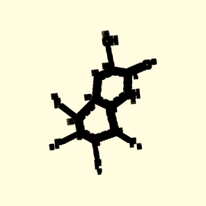 O=c1[nH]c2c(F)c(F)c(F)c(F)c2cc1O